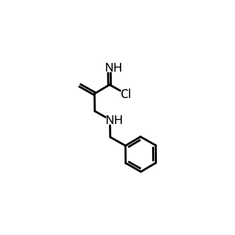 C=C(CNCc1ccccc1)C(=N)Cl